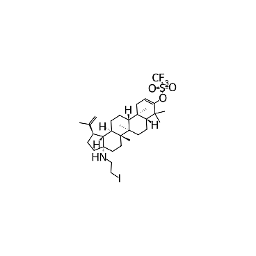 C=C(C)[C@@H]1CC[C@]2(NCCI)CC[C@]3(C)[C@H](CC[C@@H]4[C@@]5(C)CC=C(OS(=O)(=O)C(F)(F)F)C(C)(C)[C@@H]5CC[C@]43C)[C@@H]12